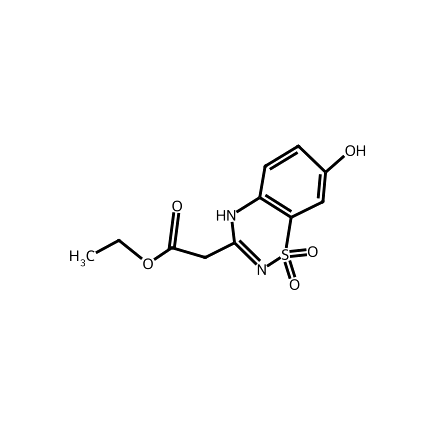 CCOC(=O)CC1=NS(=O)(=O)c2cc(O)ccc2N1